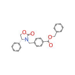 O=C(OCc1ccccc1)c1ccc(CN2C(=O)OC[C@H]2c2ccccc2)cc1